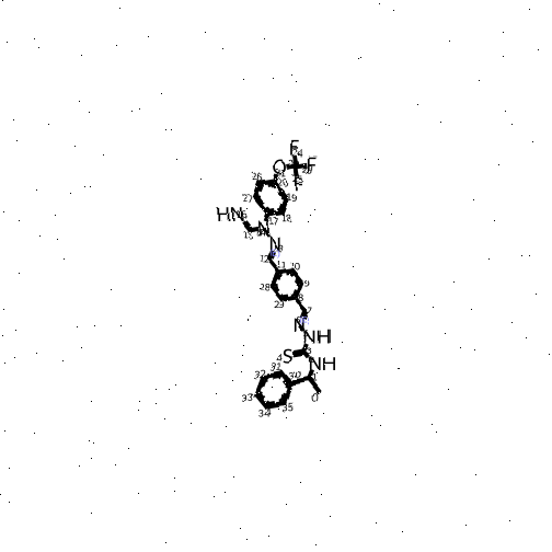 CC(NC(=S)N/N=C/c1ccc(/C=N/N(C=N)c2ccc(OC(F)(F)F)cc2)cc1)c1ccccc1